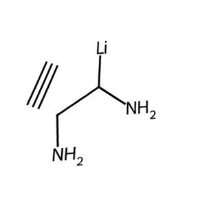 C#C.[Li][CH](N)CN